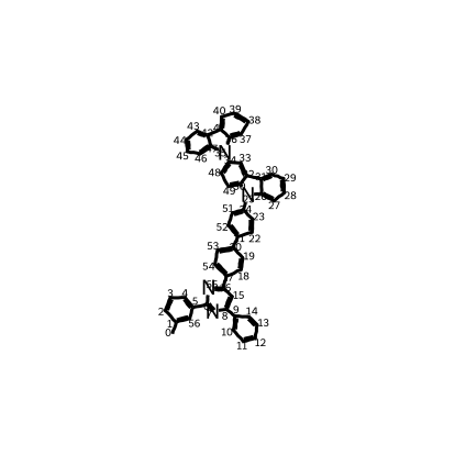 Cc1cccc(-c2nc(-c3ccccc3)cc(-c3ccc(-c4ccc(-n5c6ccccc6c6cc(-n7c8ccccc8c8ccccc87)ccc65)cc4)cc3)n2)c1